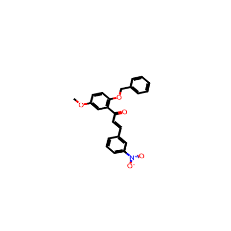 COc1ccc(OCc2ccccc2)c(C(=O)C=Cc2cccc([N+](=O)[O-])c2)c1